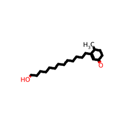 CC1CCC(=O)C=C1CCCCCCCCCCCCCO